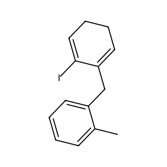 Cc1ccccc1CC1=CCCC=C1I